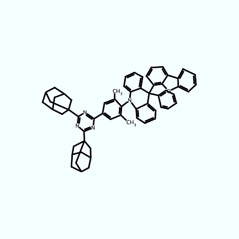 Cc1cc(-c2nc(C34CC5CC(CC(C5)C3)C4)nc(C34CC5CC(CC(C5)C3)C4)n2)cc(C)c1N1c2ccccc2C(c2ccccc2)(c2cccc3c2oc2ccccc23)c2ccccc21